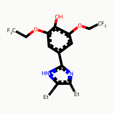 CCc1nc(-c2cc(OCC(F)(F)F)c(O)c(OCC(F)(F)F)c2)[nH]c1CC